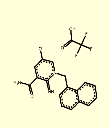 N=c1c(C(N)=O)cc(Cl)cn1Cc1cccc2ccccc12.O=C(O)C(F)(F)F